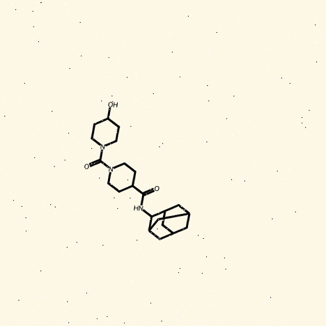 O=C(NC1C2CC3CC(C2)CC1C3)C1CCN(C(=O)N2CCC(O)CC2)CC1